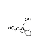 O=C(O)c1cc2[c]cccc2n1CCO